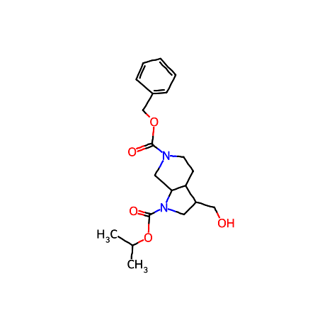 CC(C)OC(=O)N1CC(CO)C2CCN(C(=O)OCc3ccccc3)CC21